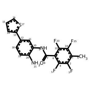 Cc1c(F)c(F)c(C(=O)Nc2cc(-c3cccs3)ccc2N)c(F)c1F